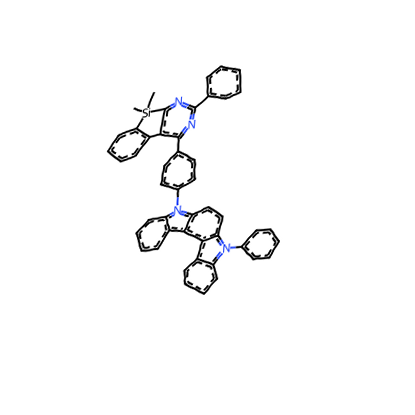 C[Si]1(C)c2ccccc2-c2c(-c3ccc(-n4c5ccccc5c5c6c7ccccc7n(-c7ccccc7)c6ccc54)cc3)nc(-c3ccccc3)nc21